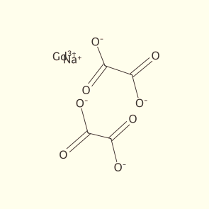 O=C([O-])C(=O)[O-].O=C([O-])C(=O)[O-].[Gd+3].[Na+]